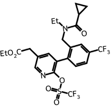 CCOC(=O)Cc1cnc(OS(=O)(=O)C(F)(F)F)c(-c2ccc(C(F)(F)F)cc2CN(CC)C(=O)C2CC2)c1